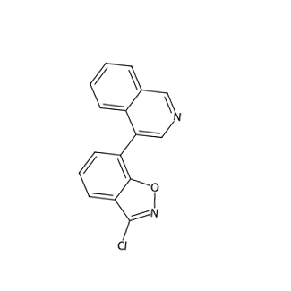 Clc1noc2c(-c3cncc4ccccc34)cccc12